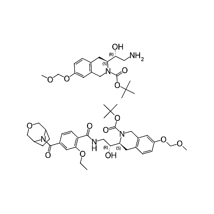 CCOc1cc(C(=O)N2C3CCC2COC3)ccc1C(=O)NC[C@@H](O)[C@@H]1Cc2ccc(OCOC)cc2CN1C(=O)OC(C)(C)C.COCOc1ccc2c(c1)CN(C(=O)OC(C)(C)C)[C@H]([C@H](O)CN)C2